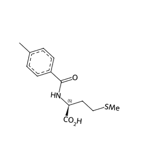 CSCC[C@H](NC(=O)c1ccc(C)cc1)C(=O)O